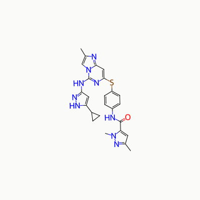 Cc1cn2c(Nc3cc(C4CC4)[nH]n3)nc(Sc3ccc(NC(=O)c4cc(C)nn4C)cc3)cc2n1